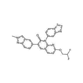 Cn1cc2cc(-c3cc4ccc(OCC(F)F)nc4n(-c4ccc5scnc5c4)c3=O)ccc2n1